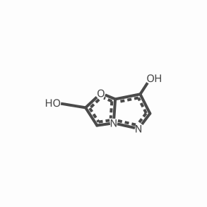 Oc1cn2ncc(O)c2o1